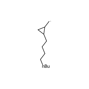 [CH2]C1CC1CCCCCCCC